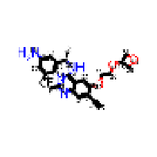 C#Cc1cc2nc(C)nc(N[C@H](C)c3cc(N)cc(C(F)(F)F)c3)c2cc1OCCOC1COC1